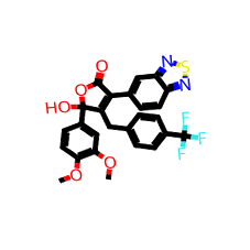 COc1ccc(C2(O)OC(=O)C(c3ccc4nsnc4c3)=C2Cc2ccc(C(F)(F)F)cc2)cc1OC